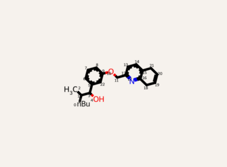 CCCCC(C)C(O)c1cccc(OCc2ccc3c(n2)CC=CC3)c1